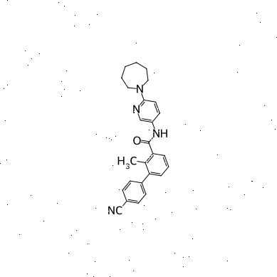 Cc1c(C(=O)Nc2ccc(N3CCCCCC3)nc2)cccc1-c1ccc(C#N)cc1